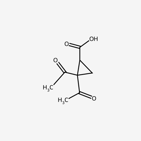 CC(=O)C1(C(C)=O)CC1C(=O)O